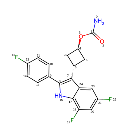 NC(=O)O[C@H]1C[C@H](c2c(-c3ccc(F)cc3)[nH]c3c(F)cc(F)cc32)C1